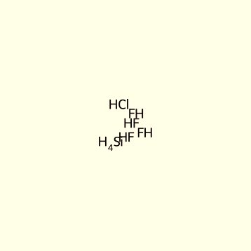 Cl.F.F.F.F.[SiH4]